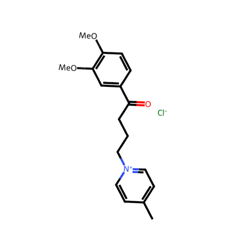 COc1ccc(C(=O)CCC[n+]2ccc(C)cc2)cc1OC.[Cl-]